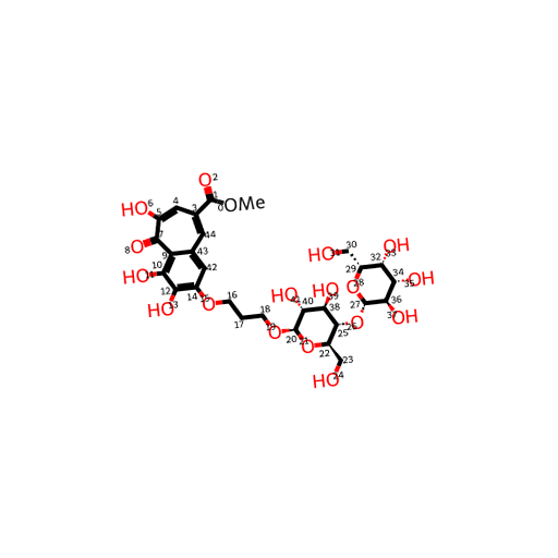 COC(=O)c1cc(O)c(=O)c2c(O)c(O)c(OCCCO[C@@H]3O[C@H](CO)[C@@H](O[C@@H]4O[C@H](CO)[C@H](O)[C@H](O)[C@H]4O)[C@H](O)[C@H]3O)cc2c1